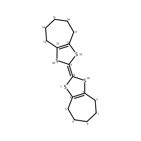 C1CCC2=C(CC1)SC(=C1SC3=C(CCCCC3)S1)S2